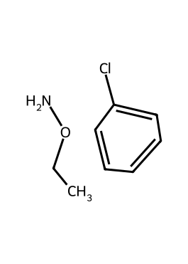 CCON.Clc1ccccc1